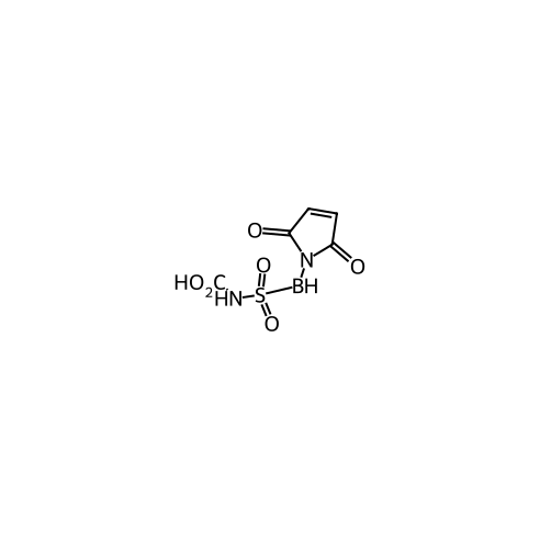 O=C(O)NS(=O)(=O)BN1C(=O)C=CC1=O